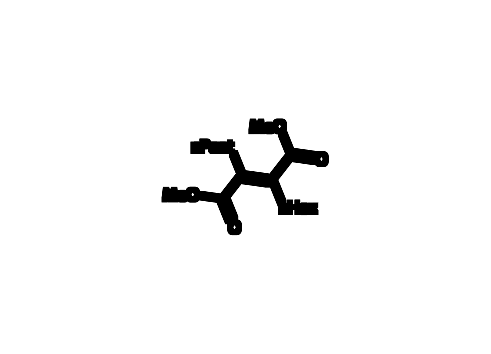 CCCCCCC(C(=O)OC)=C(CCCCC)C(=O)OC